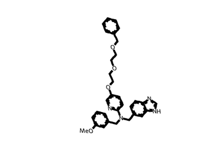 COc1cccc(CN(Cc2ccc3nc[nH]c3c2)c2ccc(OCCOCCOCc3ccccc3)cn2)c1